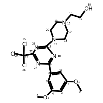 COc1cc(OC)cc(-c2nc(N3CCN(CCO)CC3)nc(C(Cl)(Cl)Cl)n2)c1